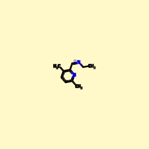 CC/N=C\c1nc(C)ccc1C